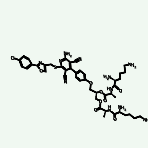 C[C@H](NC(=O)[C@@H](N)CCCCN)C(=O)OC[C@@H](COc1ccc(-c2c(C#N)c(N)nc(SCc3coc(-c4ccc(Cl)cc4)n3)c2C#N)cc1)OC(=O)[C@H](C)NC(=O)[C@@H](N)CCCCN